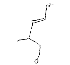 CCCC=CC(C)C[O]